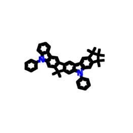 CC1(C)c2cc3c(cc2-c2cc4c5cc6c(cc5n(-c5ccccc5)c4cc21)C(C)(C)C(C)(C)C6(C)C)c1ccccc1n3-c1ccccc1